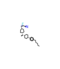 C=C([C@H]1CC[C@H](/C=C(/F)C#N)CC1)[C@H]1CC[C@H](c2ccc(CCCCC)cc2)CC1